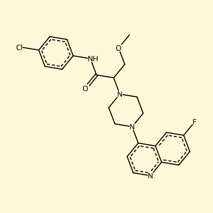 COCC(C(=O)Nc1ccc(Cl)cc1)N1CCN(c2ccnc3ccc(F)cc23)CC1